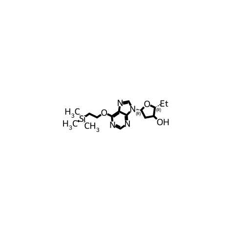 CC[C@H]1O[C@@H](n2cnc3c(OCC[Si](C)(C)C)ncnc32)CC1O